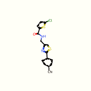 N#Cc1ccc(-c2nc(CNC(=O)c3ccc(Cl)s3)cs2)cc1